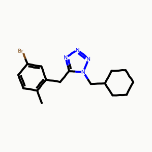 Cc1ccc(Br)cc1Cc1nnnn1CC1CCCCC1